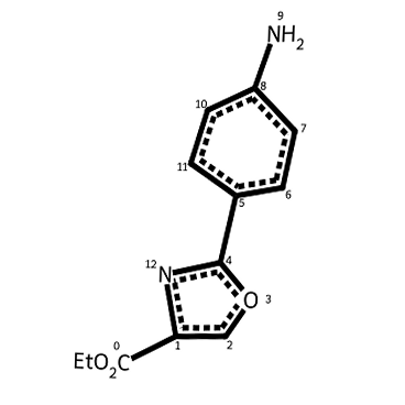 CCOC(=O)c1coc(-c2ccc(N)cc2)n1